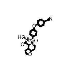 N#Cc1ccc(Oc2ccc(S(=O)(=O)N3CCC4OCCC4C3C(=O)NO)cc2)cc1